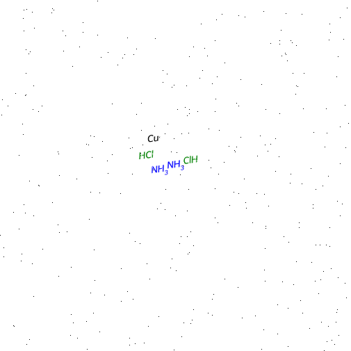 Cl.Cl.N.N.[Cu]